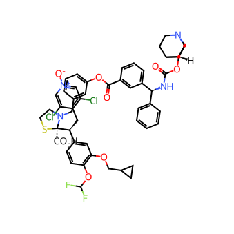 O=C(N[C@@H](c1ccccc1)c1cccc(C(=O)Oc2cccc(CN3CCS[C@]3(C(=O)O)[C@@H](Cc3c(Cl)c[n+]([O-])cc3Cl)c3ccc(OC(F)F)c(OCC4CC4)c3)c2)c1)O[C@H]1CN2CCC1CC2